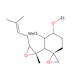 CCOC1CC[C@]2(CO2)C([C@]2(C)OC2CC=C(C)C)C1OC